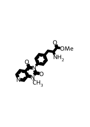 COC(=O)C(N)Cc1ccc(-n2c(=O)c3ccncc3n(C)c2=O)cc1